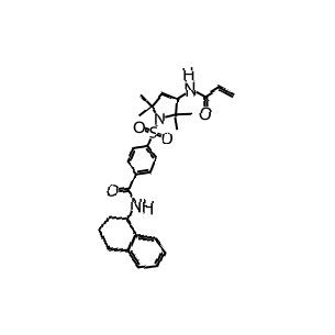 C=CC(=O)NC1CC(C)(C)N(S(=O)(=O)c2ccc(C(=O)NC3CCCc4ccccc43)cc2)C1(C)C